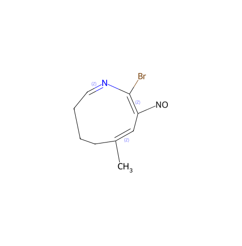 C/C1=C/C(N=O)=C(Br)\N=C/CCC1